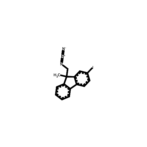 CC1(CN=[N+]=[N-])c2ccccc2-c2ccc(I)cc21